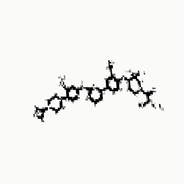 COc1cc(Nc2nccc(-c3ccc(OC4CCN(C(=O)[C@H](C)O)CC4(F)F)c(C#N)c3)n2)ncc1N1CCN(C2COC2)CC1